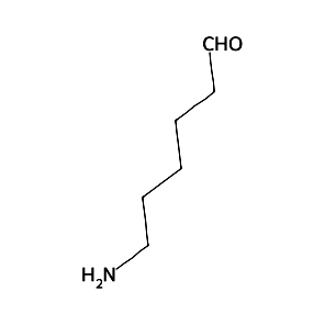 NCCCCCC=O